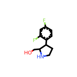 OCC1NCCC1c1ccc(F)cc1F